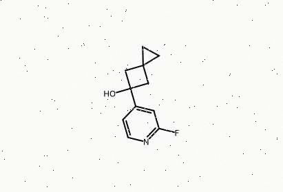 OC1(c2ccnc(F)c2)CC2(CC2)C1